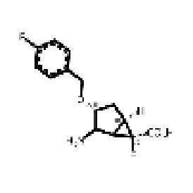 NC1C2[C@@H](C[C@H]1OCc1ccc(F)cc1)[C@]2(F)C(=O)O